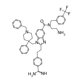 N=C(N)c1ccc(CCc2nc3cc(C(=O)N(CCN)Cc4cccc(C(F)(F)F)c4)ccc3n2CC2(c3ccccc3)CCN(Cc3ccccc3)CC2)cc1